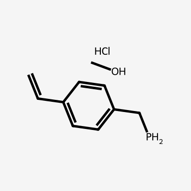 C=Cc1ccc(CP)cc1.CO.Cl